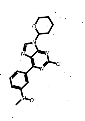 C[S+]([O-])c1cccc(-c2nc(Cl)nc3c2ncn3C2CCCCO2)c1